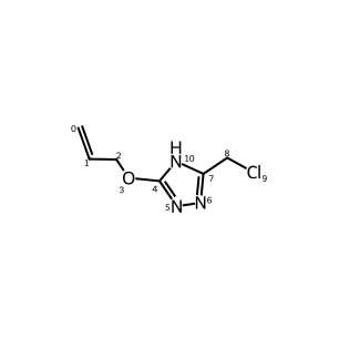 C=CCOc1nnc(CCl)[nH]1